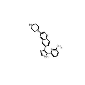 Cc1cccc(-c2[nH]cnc2-c2ccc3ncc(N4CCNCC4)cc3c2)n1